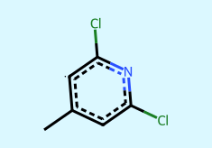 Cc1[c]c(Cl)nc(Cl)c1